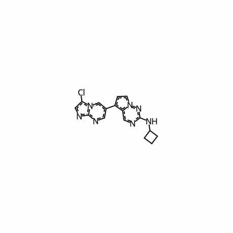 Clc1cnc2ncc(-c3ccn4nc(NC5CCC5)ncc34)cn12